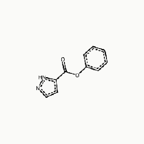 O=C(Oc1ccccc1)c1ccn[nH]1